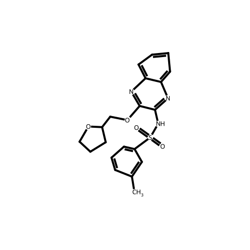 Cc1cccc(S(=O)(=O)Nc2nc3ccccc3nc2OCC2CCCO2)c1